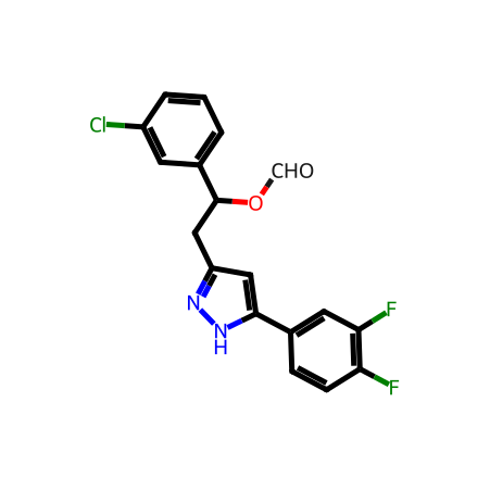 O=COC(Cc1cc(-c2ccc(F)c(F)c2)[nH]n1)c1cccc(Cl)c1